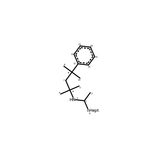 CCCCCCCC(C)NC(C)(C)CC(C)(C)c1ccccc1